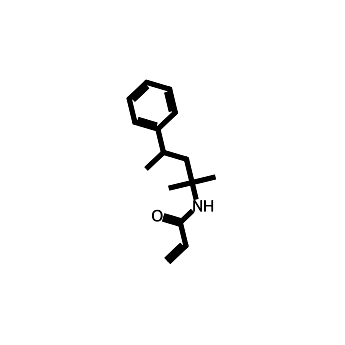 C=CC(=O)NC(C)(C)CC(C)c1ccccc1